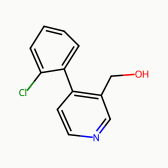 OCc1cnccc1-c1ccccc1Cl